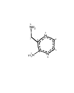 NCc1nccnc1N